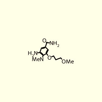 CNc1c(N)cc(C(N)=O)cc1OCCCOC